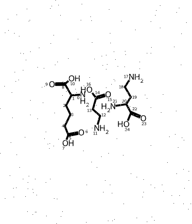 NC(CCCC(=O)O)C(=O)O.NCCC(=O)O.NCCC(N)C(=O)O